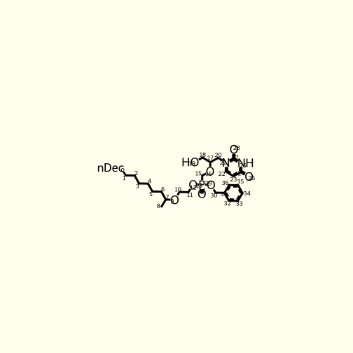 CCCCCCCCCCCCCCCCC(C)OCCOP(=O)(COC(CO)Cn1ccc(=O)[nH]c1=O)OCc1ccccc1